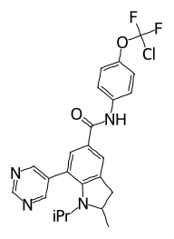 CC(C)N1c2c(cc(C(=O)Nc3ccc(OC(F)(F)Cl)cc3)cc2-c2cncnc2)CC1C